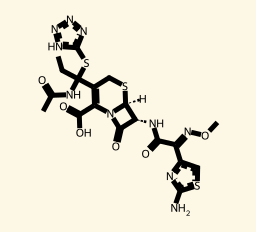 CCC(NC(C)=O)(Sc1nnn[nH]1)C1=C(C(=O)O)N2C(=O)[C@@H](NC(=O)C(=NOC)c3csc(N)n3)[C@@H]2SC1